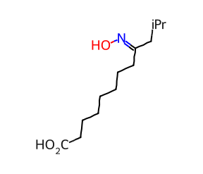 CC(C)CC(CCCCCCCC(=O)O)=NO